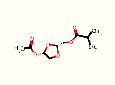 CC(=O)O[C@H]1CO[C@@H](COC(=O)C(C)C)O1